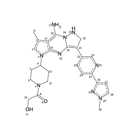 Cc1cn(C2CCN(C(=O)CO)CC2)c2c1=C(N)N1NCC(c3ccc(-c4ccn(C)n4)nc3)=C1N=2